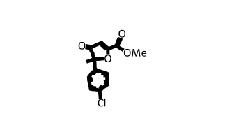 COC(=O)C1=CC(=O)C(C)(c2ccc(Cl)cc2)O1